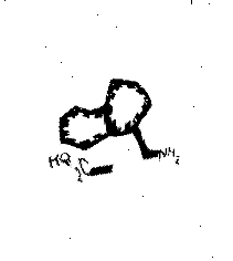 CC(=O)O.NCc1cccc2ccccc12